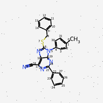 Cc1ccc(-n2c(SCc3ccccc3)nc3c(C#N)nc(-c4ccccc4)nc32)cc1